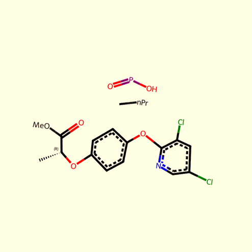 CCCC.COC(=O)[C@@H](C)Oc1ccc(Oc2ncc(Cl)cc2Cl)cc1.O=PO